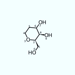 OC[C@H]1OCCC(O)[C@H]1O